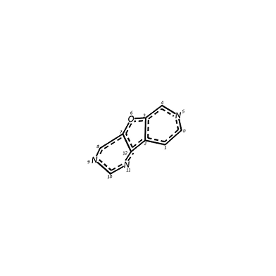 c1cc2c(cn1)oc1cncnc12